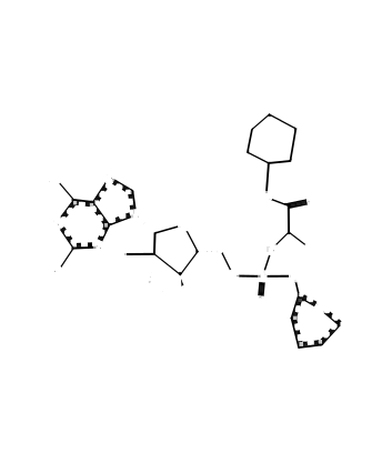 Cc1nc(N)nc2c1ncn2[C@@H]1O[C@H](COP(=O)(NC(C)C(=O)OC2CCCCC2)Oc2ccccc2)[C@@H](O)[C@@]1(C)Cl